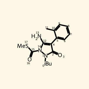 CCC(C)n1c(=O)c(-c2ccccc2C)c(N)n1C(=O)SC